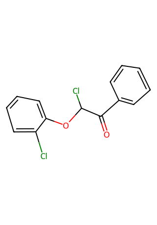 O=C(c1ccccc1)C(Cl)Oc1ccccc1Cl